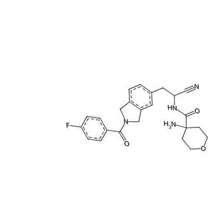 N#CC(Cc1ccc2c(c1)CN(C(=O)c1ccc(F)cc1)C2)NC(=O)C1(N)CCOCC1